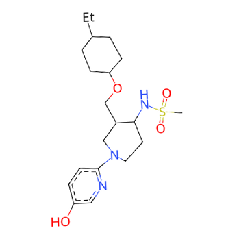 CCC1CCC(OCC2CN(c3ccc(O)cn3)CCC2NS(C)(=O)=O)CC1